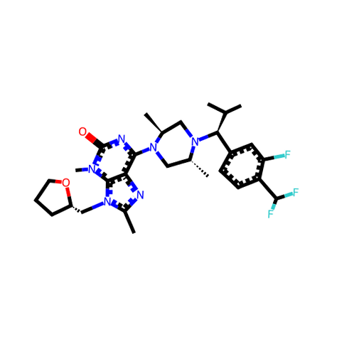 Cc1nc2c(N3C[C@@H](C)N([C@H](c4ccc(C(F)F)c(F)c4)C(C)C)C[C@@H]3C)nc(=O)n(C)c2n1C[C@@H]1CCCO1